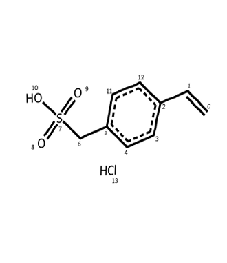 C=Cc1ccc(CS(=O)(=O)O)cc1.Cl